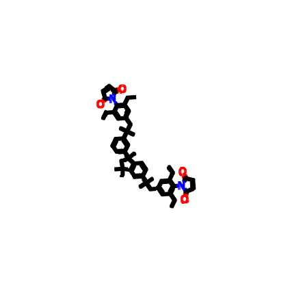 CCc1cc(CC(C)(C)c2cccc(C3(C)CC(C)(C)c4cc(C(C)(C)Cc5cc(CC)c(N6C(=O)C=CC6=O)c(CC)c5)ccc43)c2)cc(CC)c1N1C(=O)C=CC1=O